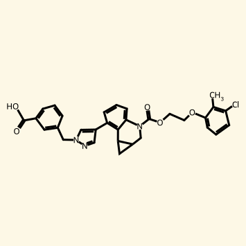 Cc1c(Cl)cccc1OCCOC(=O)N1CC2CC2c2c(-c3cnn(Cc4cccc(C(=O)O)c4)c3)cccc21